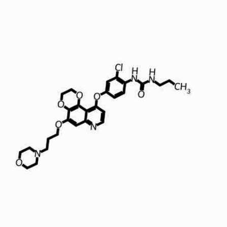 CCCNC(=O)Nc1ccc(Oc2ccnc3cc(OCCCN4CCOCC4)c4c(c23)OCCO4)cc1Cl